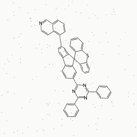 c1ccc(-c2nc(-c3ccccc3)nc(-c3ccc4c(c3)C3(c5ccccc5Sc5ccccc53)c3cc(-c5cccc6cnccc56)ccc3-4)n2)cc1